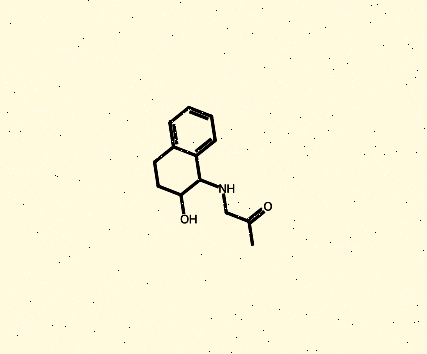 CC(=O)CNC1c2ccccc2CCC1O